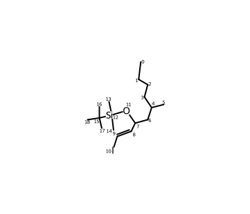 CCCCC(C)CC(/C=C/I)O[Si](C)(C)C(C)(C)C